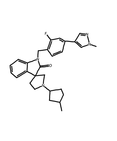 CC1CCC(N2CCC3(C2)C(=O)N(Cc2ccc(-c4cnn(C)c4)cc2F)c2ccccc23)C1